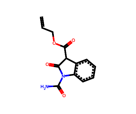 C=CCOC(=O)C1C(=O)N(C(N)=O)c2ccccc21